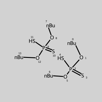 CCCCOP(=S)(S)OCCCC.CCCCOP(=S)(S)OCCCC